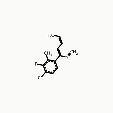 C=N/C(=C\C=C/C)c1ccc(Cl)c(F)c1C